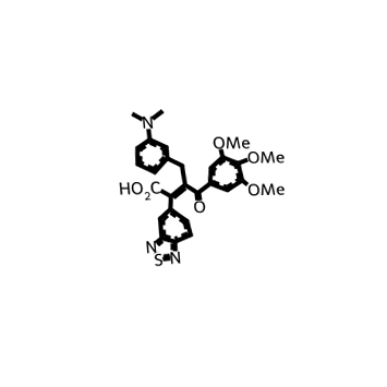 COc1cc(C(=O)/C(Cc2cccc(N(C)C)c2)=C(/C(=O)O)c2ccc3nsnc3c2)cc(OC)c1OC